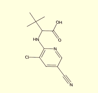 CC(C)(C)C(Nc1ncc(C#N)cc1Cl)C(=O)O